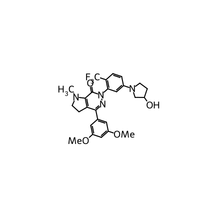 COc1cc(OC)cc(-c2nn(-c3cc(N4CCC(O)C4)ccc3C(F)(F)F)c(=O)c3c2CCN3C)c1